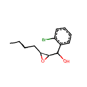 CCCCC1OC1C(O)c1ccccc1Br